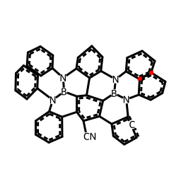 N#Cc1c2c3c4c5c1-c1ccccc1N(c1ccccc1)B5N(c1ccccc1)c1cccc(c1-4)N(c1ccccc1)B3N(c1ccccc1)c1ccccc1-2